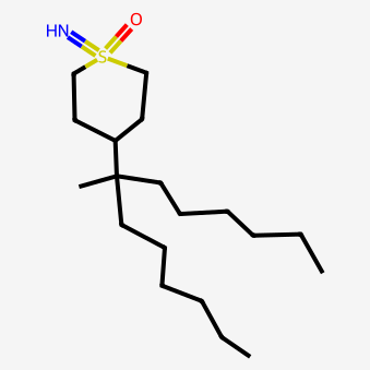 CCCCCCC(C)(CCCCCC)C1CCS(=N)(=O)CC1